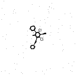 C#Cc1c(Cl)c(C#Cc2ccccc2)c(C)c(-c2ccccc2)c1Cl